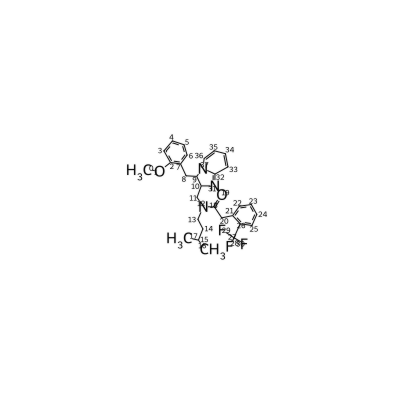 COc1ccccc1CC1C(CN(CCC(C)C)C(=O)Cc2ccccc2C(F)(F)F)N=C2C=CC=CN21